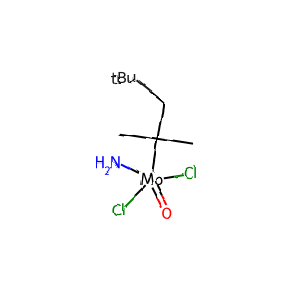 CC(C)(C)C[C](C)(C)[Mo]([NH2])(=[O])([Cl])[Cl]